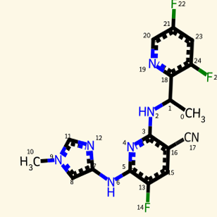 CC(Nc1nc(Nc2cn(C)cn2)c(F)cc1C#N)c1ncc(F)cc1F